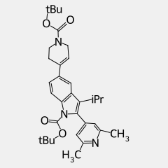 Cc1cc(-c2c(C(C)C)c3cc(C4=CCN(C(=O)OC(C)(C)C)CC4)ccc3n2C(=O)OC(C)(C)C)cc(C)n1